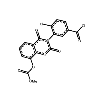 COC(=O)Oc1cccc2c(=O)n(-c3cc(C(=O)Cl)ccc3Cl)c(=O)oc12